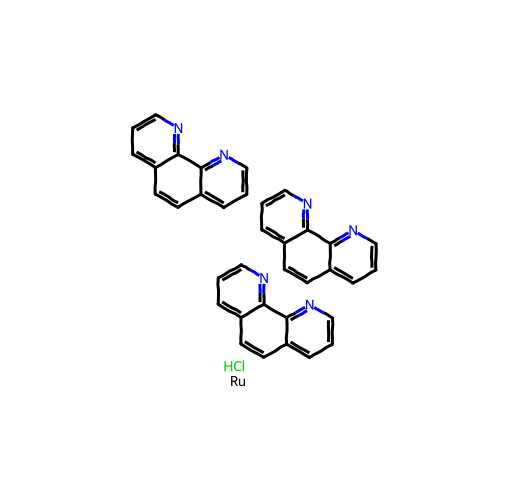 Cl.[Ru].c1cnc2c(c1)ccc1cccnc12.c1cnc2c(c1)ccc1cccnc12.c1cnc2c(c1)ccc1cccnc12